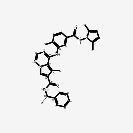 Cc1ccc(C(=O)Nn2c(C)ccc2C)cc1Nc1ncnn2cc(C(=O)N[C@@H](C)c3ccccc3)c(C)c12